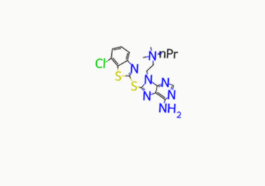 CCC[N+](C)(C)CCn1c(Sc2nc3cccc(Cl)c3s2)nc2c(N)ncnc21